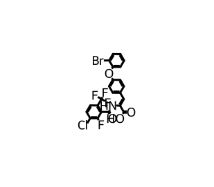 O=C(O)C(=Cc1ccc(Oc2ccccc2Br)cc1)NC(=O)c1c(C(F)(F)F)ccc(Cl)c1F